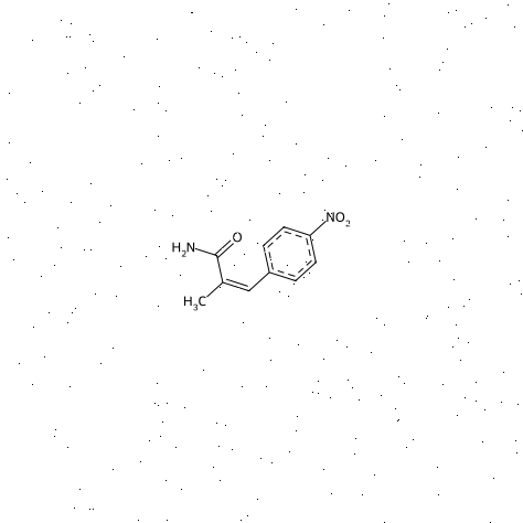 CC(=Cc1ccc([N+](=O)[O-])cc1)C(N)=O